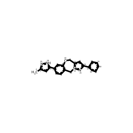 Cc1cc(-c2ccc3c(c2)OCc2cc(-c4ccccc4)nn2C3)[nH]n1